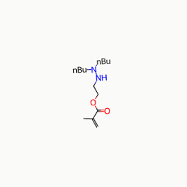 C=C(C)C(=O)OCCNN(CCCC)CCCC